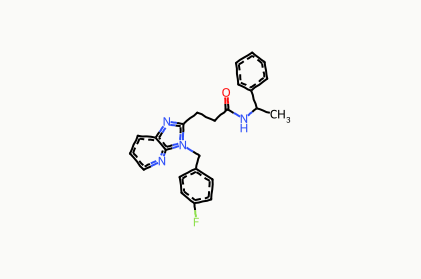 CC(NC(=O)CCc1nc2cccnc2n1Cc1ccc(F)cc1)c1ccccc1